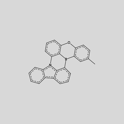 Cc1ccc2c(c1)B1c3c(cccc3-n3c4ccccc4c4cccc1c43)O2